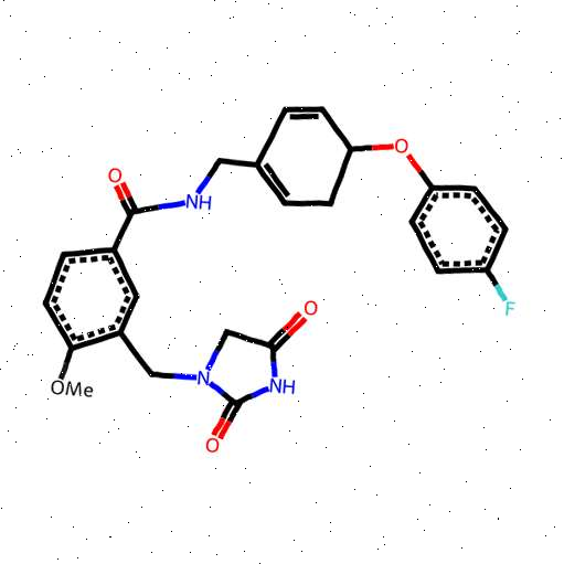 COc1ccc(C(=O)NCC2=CCC(Oc3ccc(F)cc3)C=C2)cc1CN1CC(=O)NC1=O